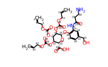 C=CCOC(=O)O[C@@H]1[C@@H](OC(=O)OCC=C)[C@H](Oc2ccc(CO)cc2NC(=O)CCN)O[C@H](C(=O)O)[C@H]1OC(=O)OCC=C